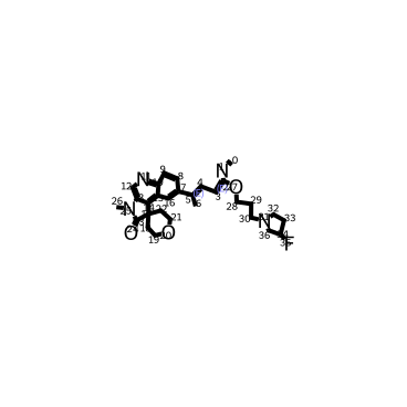 C=N/C(=C\C=C(/C)c1ccc2ncc3c(c2c1)C1(CCOCC1)C(=O)N3C)OCCCN1CCC(F)C1